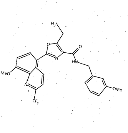 COc1cccc(CNC(=O)c2nc(-c3ccc(OC)c4nc(C(F)(F)F)ccc34)oc2CN)c1